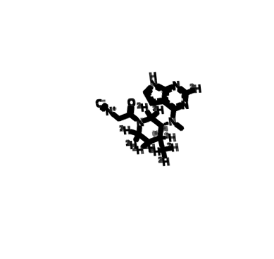 [2H]c1nc(N(C)[C@H]2C([2H])([2H])N(C(=O)C[N+]#[C-])C([2H])([2H])C([2H])([2H])[C@@]2([2H])C([2H])([2H])[2H])c2cc[nH]c2n1